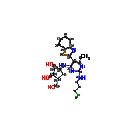 Cc1nc(NCCCF)nc(N[C@@H]2C[C@H](CO)[C@@H](O)[C@H]2O)c1-c1nc2ccccc2s1